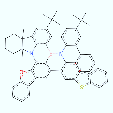 CC(C)(C)c1ccc(N2B3c4cc(C(C)(C)C)cc5c4N(c4c3c(cc3c4oc4ccccc43)-c3cc4sc6ccccc6c4cc32)C2(C)CCCCC52C)c(-c2ccccc2)c1